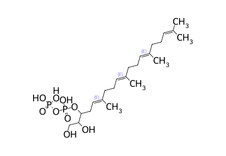 CC(C)=CCC/C(C)=C/CC/C(C)=C/CC/C(C)=C/CC(OP(=O)(O)OP(=O)(O)O)C(O)CO